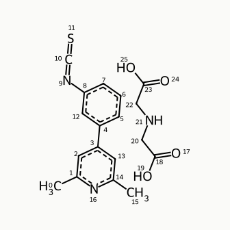 Cc1cc(-c2cccc(N=C=S)c2)cc(C)n1.O=C(O)CNCC(=O)O